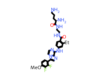 CCc1cc(Nc2nccn3c(-c4ccc(OC)c(F)c4F)cnc23)ccc1C(=O)NCCNC(=O)[C@@H](N)CCCN